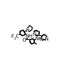 Cc1ccc(C(=O)Nc2cc(C(F)(F)F)ccc2N2CCCCC2)cc1Nc1ncccc1-c1ccncn1